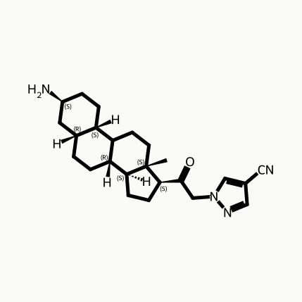 C[C@]12CCC3[C@H]4CC[C@H](N)C[C@H]4CC[C@H]3[C@@H]1CC[C@@H]2C(=O)Cn1cc(C#N)cn1